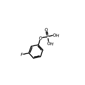 O=P(O)(O)Oc1cccc(F)c1